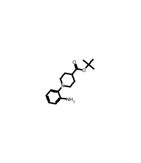 CC(C)(C)OC(=O)C1CCN(c2ccccc2N)CC1